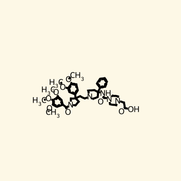 COc1ccc(C2(CCN3CCC(NC(=O)N4CCN(CC(=O)O)CC4)(c4ccccc4)CC3)CCN(C(=O)c3cc(OC)c(OC)c(OC)c3)C2)cc1OC